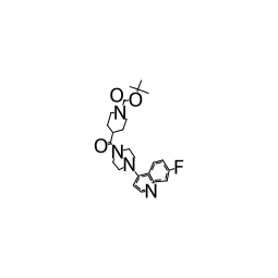 CC(C)(C)OC(=O)N1CCC(C(=O)N2CCN(c3ccnc4cc(F)ccc34)CC2)CC1